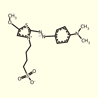 COc1c[n+](CCCCS(=O)(=O)[O-])c(/N=N/c2ccc(N(C)C)cc2)s1